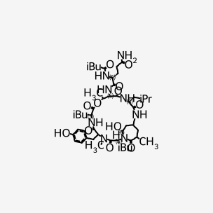 CCC(C)C(=O)N[C@@H](CCC(N)=O)C(=O)N[C@@H]1C(=O)N[C@@H](CC(C)C)C(=O)NC2CC(C)C(=O)N([C@@H](C(C)CC)C(=O)N(C)C(Cc3ccc(O)cc3)C(=O)N[C@@H](C(C)CC)C(=O)OC1C)[C@@H](O)C2